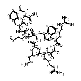 CC[C@H](C)[C@H](NC(=O)[C@H](Cc1ccccc1)NC(=O)[C@H](CCSC)NC(=O)[C@H](Cc1c[nH]c2ccccc12)NC(=O)[C@H](CCCCN)NC(=O)[C@H](CCCNC(=N)N)NC(=O)[C@H](C)NC(=O)[C@@H](C)CCCNC(=N)N)C(N)=O